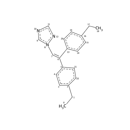 CCc1ccc(C(=Cn2cncn2)c2ccc(CC)cc2)cc1